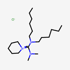 CCCCCCN(CCCCCC)C(N(C)C)=[N+]1CCCCC1.[Cl-]